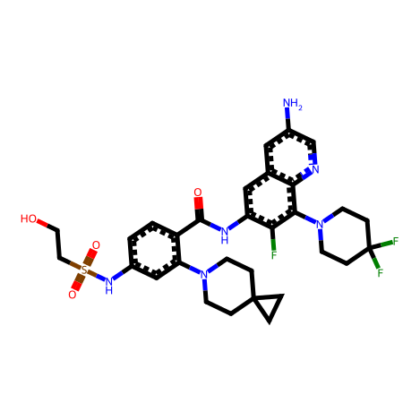 Nc1cnc2c(N3CCC(F)(F)CC3)c(F)c(NC(=O)c3ccc(NS(=O)(=O)CCO)cc3N3CCC4(CC3)CC4)cc2c1